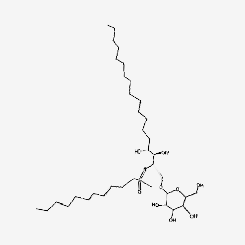 CCCCCCCCCCCCCC[C@@H](O)[C@@H](O)[C@H](COC1OC(CO)C(O)C(O)C1O)N=S(C)(=O)CCCCCCCCCCC